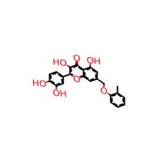 Cc1ccccc1OCc1cc(O)c2c(=O)c(O)c(-c3ccc(O)c(O)c3)oc2c1